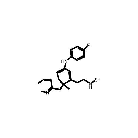 C/C=C\C(CC1(C)CC=C(Nc2ccc(F)cc2)C=C1CCNS)=N/C